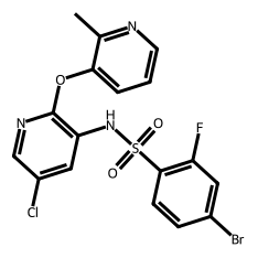 Cc1ncccc1Oc1ncc(Cl)cc1NS(=O)(=O)c1ccc(Br)cc1F